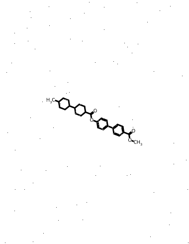 COC(=O)c1ccc(-c2ccc(OC(=O)C3CCC(C4CCC(C)CC4)CC3)cc2)cc1